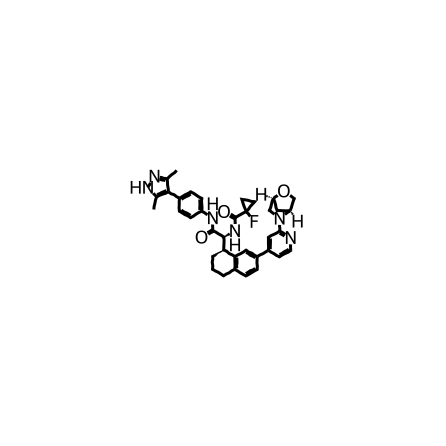 Cc1n[nH]c(C)c1-c1ccc(NC(=O)[C@@H](NC(=O)C2(F)CC2)[C@@H]2CCCc3ccc(-c4ccnc(N5C[C@@H]6C[C@H]5CO6)c4)cc32)cc1